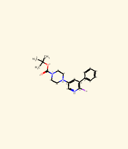 CC(C)(C)OC(=O)N1CCN(c2cnc(I)c(-c3ccccc3)c2)CC1